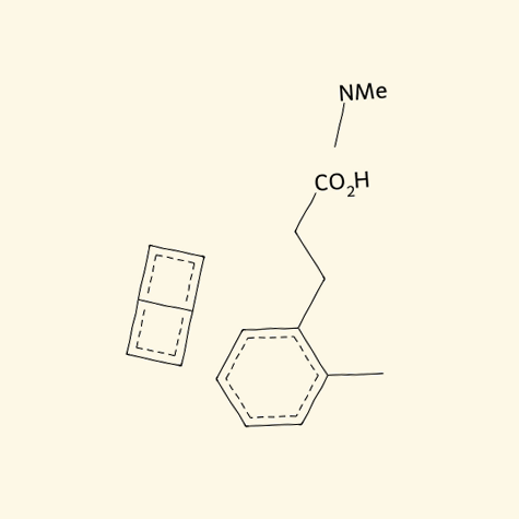 CNC.Cc1ccccc1CCC(=O)O.c1cc2ccc1-2